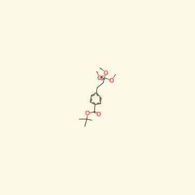 CO[Si](CCc1ccc(C(=O)OC(C)(C)C)cc1)(OC)OC